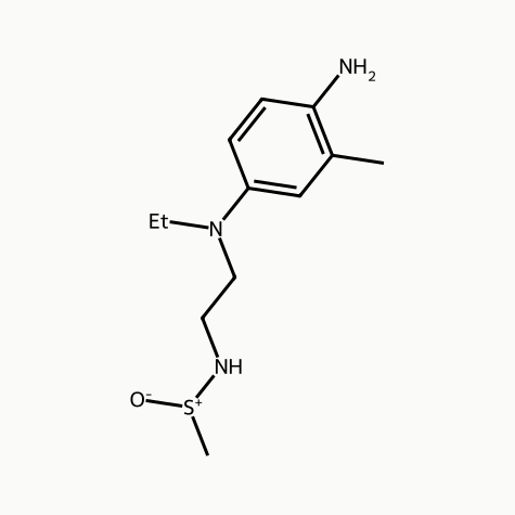 CCN(CCN[S+](C)[O-])c1ccc(N)c(C)c1